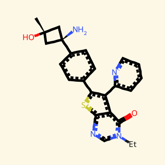 CCn1cnc2sc(-c3ccc([C@]4(N)C[C@](C)(O)C4)cc3)c(-c3ccccn3)c2c1=O